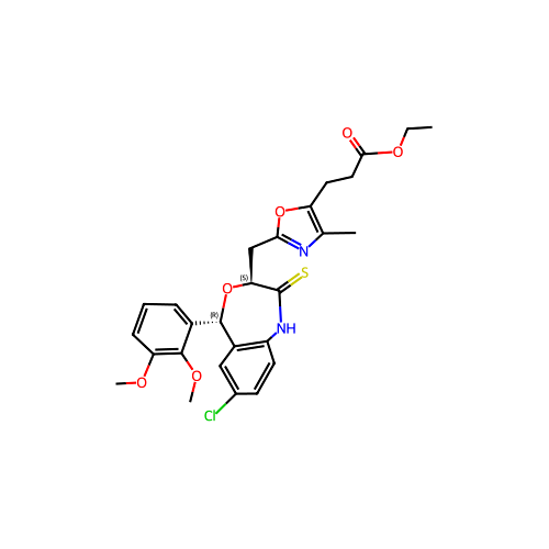 CCOC(=O)CCc1oc(C[C@@H]2O[C@@H](c3cccc(OC)c3OC)c3cc(Cl)ccc3NC2=S)nc1C